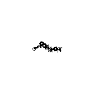 COCCCNc1cccc(Cn2nc(-c3nc(-c4ccc(OC(C)(F)F)cc4)no3)nc2C)c1